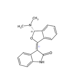 CN(C)[C@H]1O/C(=C2/C(=O)Nc3ccccc32)c2ccccc21